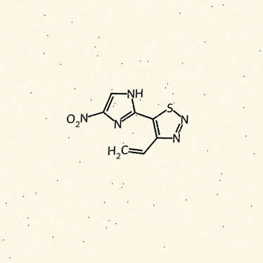 C=Cc1nnsc1-c1nc([N+](=O)[O-])c[nH]1